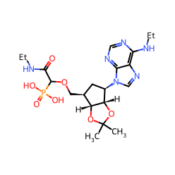 CCNC(=O)C(OC[C@H]1C[C@@H](n2cnc3c(NCC)ncnc32)[C@@H]2OC(C)(C)O[C@H]12)P(=O)(O)O